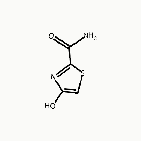 NC(=O)c1nc(O)cs1